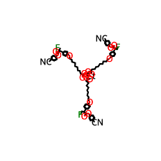 CCC(OC(=O)CCCCCCCCCOc1ccc(C(=CF)C(=O)Oc2ccc(C#N)cc2)cc1)(OC(=O)CCCCCCCCCOc1ccc(C(=CF)C(=O)Oc2ccc(C#N)cc2)cc1)OC(=O)CCCCCCCCCOc1ccc(C(=CF)C(=O)Oc2ccc(C#N)cc2)cc1